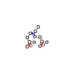 c1ccc(-c2ccc(N(c3cccc(-c4cccc(-c5cc(-c6ccccc6)c6oc7ccccc7c6c5)c4)c3)c3cccc(-c4cccc(-c5cc(-c6ccccc6)c6oc7ccccc7c6c5)c4)c3)cc2)cc1